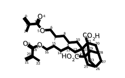 C=C(C)C(=O)OCCCCCC1(CCCCCOC(=O)C(=C)C)C2(C(=O)O)CC3CC(C2)CC1(C(=O)O)C3